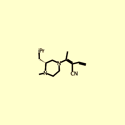 C=C/C(C#N)=C(\C)N1CCN(C)[C@H](CC(C)C)C1